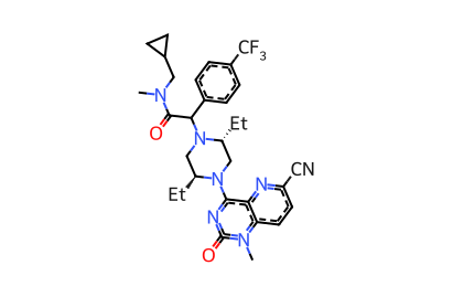 CC[C@H]1CN(C(C(=O)N(C)CC2CC2)c2ccc(C(F)(F)F)cc2)[C@H](CC)CN1c1nc(=O)n(C)c2ccc(C#N)nc12